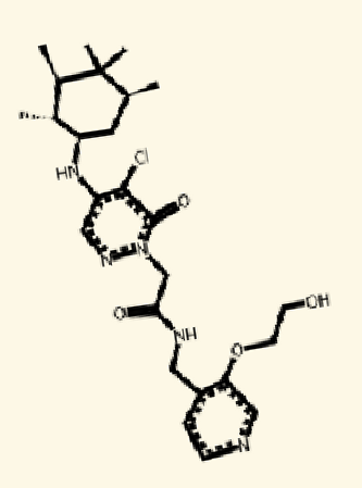 C[C@@H]1[C@@H](C)C(C)(C)[C@@H](C)C[C@H]1Nc1cnn(CC(=O)NCc2ccncc2OCCO)c(=O)c1Cl